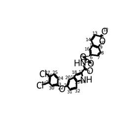 O=C(NS(=O)(=O)c1ccc2oc(=O)ccc2c1)c1cc2cc(Oc3ccc(Cl)c(Cl)c3)ccc2[nH]1